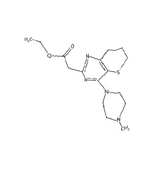 CCOC(=O)Cc1nc2c(c(N3CCN(C)CC3)n1)SCCC2